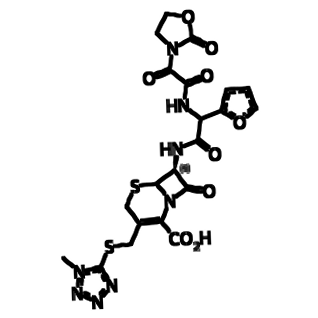 Cn1nnnc1SCC1=C(C(=O)O)N2C(=O)[C@H](NC(=O)C(NC(=O)C(=O)N3CCOC3=O)c3ccco3)C2SC1